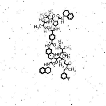 CN[C@@H](C)C(=O)N[C@H](C(=O)N1C[C@@H](NC(=O)c2ccc(C(=O)Nc3ccc4c(c3)CN(C(=O)[C@@H](NC(=O)[C@H](C)NC)C(C)(C)SCC(=O)N(C)Cc3cccc(F)c3)[C@H](C(=O)N[C@@H]3CCCc5ccccc53)C4)cc2)C[C@H]1C(=O)N[C@@H]1CCCc2ccccc21)C(C)(C)C